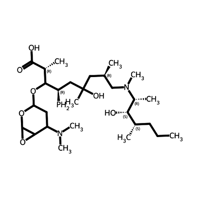 CCC[C@H](C)[C@H](O)[C@@H](C)N(C)C[C@H](C)CC(C)(O)C[C@@H](P)C(OC1CC(N(C)C)C2OC2O1)[C@@H](C)C(=O)O